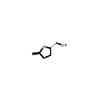 C=C1CC[C@@H](CO)O1